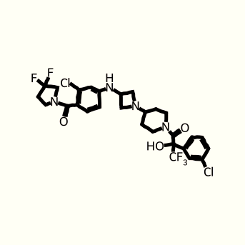 O=C(c1ccc(NC2CN(C3CCN(C(=O)C(O)(c4cccc(Cl)c4)C(F)(F)F)CC3)C2)cc1Cl)N1CCC(F)(F)C1